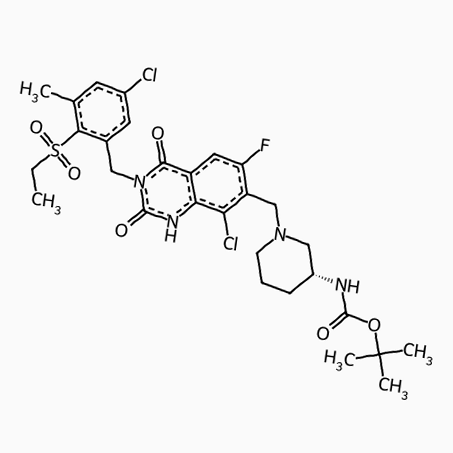 CCS(=O)(=O)c1c(C)cc(Cl)cc1Cn1c(=O)[nH]c2c(Cl)c(CN3CCC[C@@H](NC(=O)OC(C)(C)C)C3)c(F)cc2c1=O